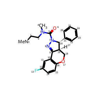 CNCCN(C)C(=O)N1N=C2c3cc(F)ccc3OC[C@@H]2[C@H]1c1ccccc1